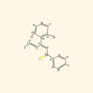 CC(C)=C/C(=C\C(=S)c1ccccc1)c1c(C)cccc1C